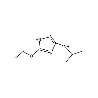 CCOc1nc(NC(C)C)n[nH]1